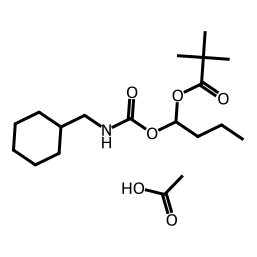 CC(=O)O.CCCC(OC(=O)NCC1CCCCC1)OC(=O)C(C)(C)C